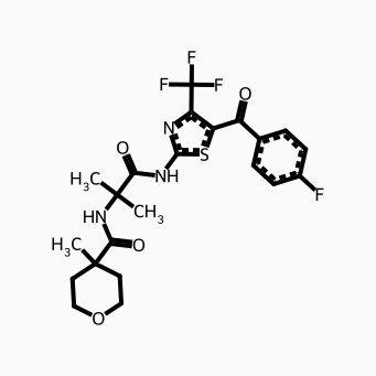 CC1(C(=O)NC(C)(C)C(=O)Nc2nc(C(F)(F)F)c(C(=O)c3ccc(F)cc3)s2)CCOCC1